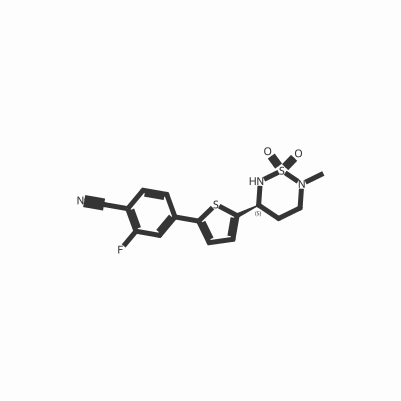 CN1CC[C@@H](c2ccc(-c3ccc(C#N)c(F)c3)s2)NS1(=O)=O